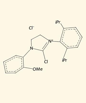 COc1ccccc1N1CC[N+](c2c(C(C)C)cccc2C(C)C)=C1Cl.[Cl-]